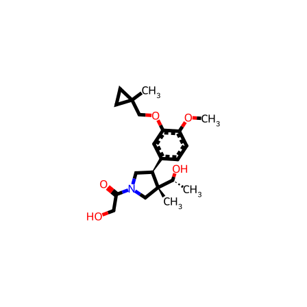 COc1ccc([C@@H]2CN(C(=O)CO)C[C@@]2(C)[C@@H](C)O)cc1OCC1(C)CC1